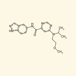 COCCN(c1cc(C(=O)Nc2ccc3[nH]ncc3c2)ncn1)C(C)C